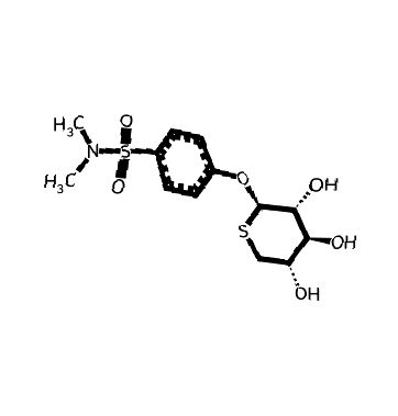 CN(C)S(=O)(=O)c1ccc(O[C@@H]2SC[C@@H](O)[C@H](O)[C@H]2O)cc1